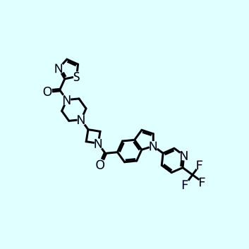 O=C(c1ccc2c(ccn2-c2ccc(C(F)(F)F)nc2)c1)N1CC(N2CCN(C(=O)c3nccs3)CC2)C1